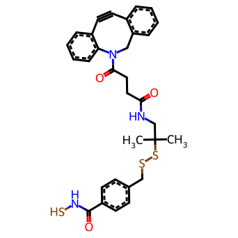 CC(C)(CNC(=O)CCC(=O)N1Cc2ccccc2C#Cc2ccccc21)SSCc1ccc(C(=O)NS)cc1